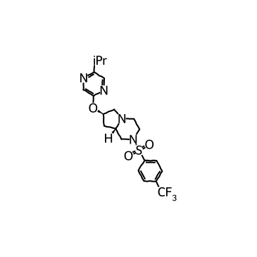 CC(C)c1cnc(O[C@@H]2C[C@H]3CN(S(=O)(=O)c4ccc(C(F)(F)F)cc4)CCN3C2)cn1